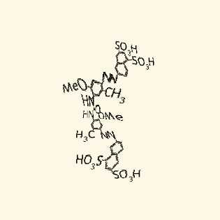 COc1cc(N=Nc2ccc3c(S(=O)(=O)O)cc(S(=O)(=O)O)cc3c2)c(C)cc1NC(=O)Nc1cc(C)c(N=Nc2ccc3cc(S(=O)(=O)O)cc(S(=O)(=O)O)c3c2)cc1OC